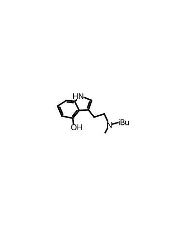 CCC(C)N(C)CCc1c[nH]c2cccc(O)c12